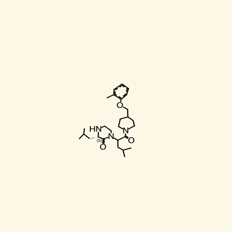 Cc1ccccc1OCC1CCN(C(=O)C(CC(C)C)N2CCN[C@@H](CC(C)C)C2=O)CC1